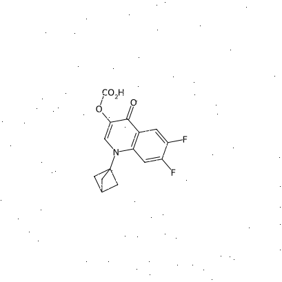 O=C(O)Oc1cn(C23CC(C2)C3)c2cc(F)c(F)cc2c1=O